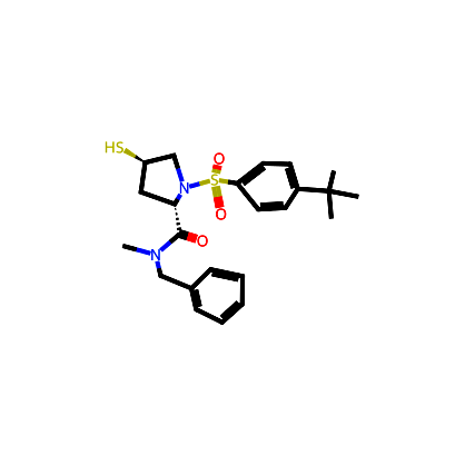 CN(Cc1ccccc1)C(=O)[C@@H]1C[C@@H](S)CN1S(=O)(=O)c1ccc(C(C)(C)C)cc1